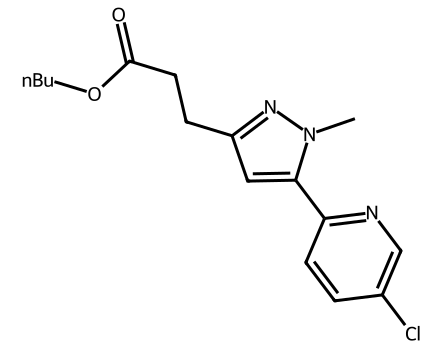 CCCCOC(=O)CCc1cc(-c2ccc(Cl)cn2)n(C)n1